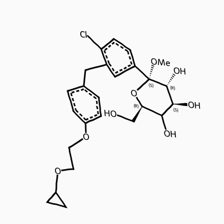 CO[C@@]1(c2ccc(Cl)c(Cc3ccc(OCCOC4CC4)cc3)c2)O[C@H](CO)C(O)[C@H](O)[C@H]1O